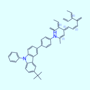 C=C/C(=C\C)C(=C)\C=C/C=C(\C=C(\C)Nc1ccc(-c2ccc3c(c2)c2cc(C(C)(C)C)ccc2n3-c2ccccc2)cc1)C(/C=C)=C/C